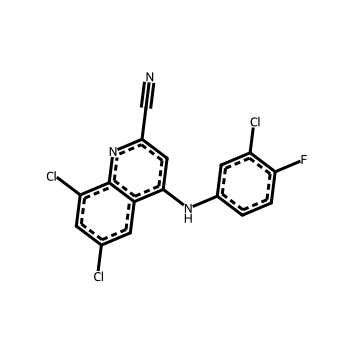 N#Cc1cc(Nc2ccc(F)c(Cl)c2)c2cc(Cl)cc(Cl)c2n1